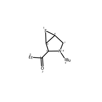 CCC(=O)C1C2SC2CN1C(C)(C)C